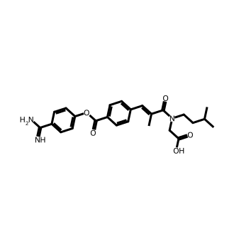 C/C(=C\c1ccc(C(=O)Oc2ccc(C(=N)N)cc2)cc1)C(=O)N(CCC(C)C)CC(=O)O